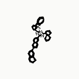 c1ccc2cc(-c3ccc4cc(-c5nc(-c6cccc7ccccc67)nc(-c6cccc7c6sc6ccccc67)n5)ccc4c3)ccc2c1